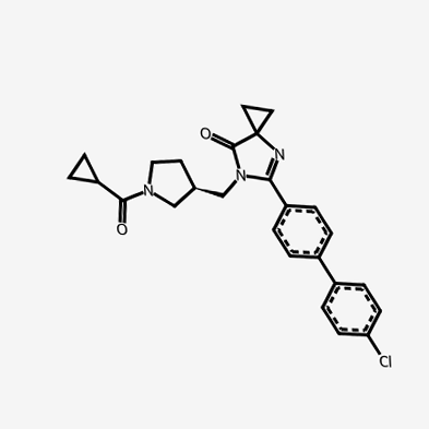 O=C(C1CC1)N1CC[C@@H](CN2C(=O)C3(CC3)N=C2c2ccc(-c3ccc(Cl)cc3)cc2)C1